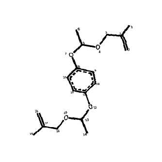 C=C(C)COC(C)Oc1ccc(OC(C)OCC(=C)C)cc1